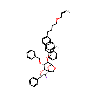 C=CCOCCCCc1ccc(Cc2cc([C@]34OC[C@](C(C)I)(O3)[C@@H](OCc3ccccc3)[C@H](OCc3ccccc3)[C@H]4OCc3ccccc3)ccc2C)cc1